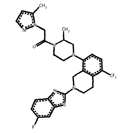 Cc1ccnn1CC(=O)N1CCN(c2ccc(C(F)(F)F)c3c2CN(c2nc4ccc(F)cc4s2)CC3)CC1C